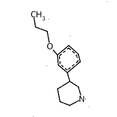 CCCOc1cccc(C2CCC[N]C2)c1